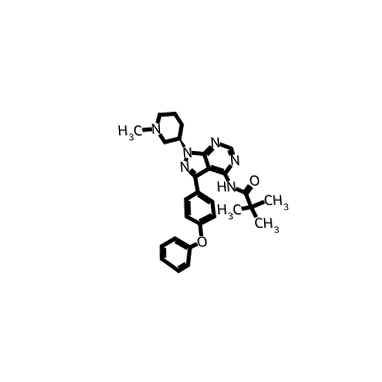 CN1CCC[C@@H](n2nc(-c3ccc(Oc4ccccc4)cc3)c3c(NC(=O)C(C)(C)C)ncnc32)C1